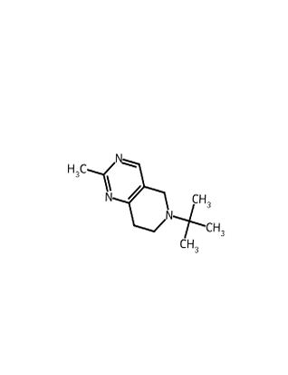 Cc1ncc2c(n1)CCN(C(C)(C)C)C2